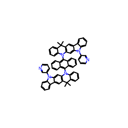 CC1(C)c2ccccc2N(c2c3ccccc3c(N3c4ccccc4C(C)(C)c4cc5c6ccccc6n(-c6cccnc6)c5cc43)c3ccccc23)c2cc3c(cc21)c1ccccc1n3-c1cccnc1